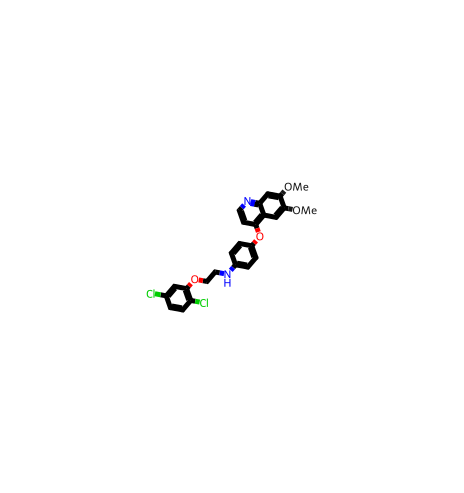 COc1cc2nccc(Oc3ccc(NCCOc4cc(Cl)ccc4Cl)cc3)c2cc1OC